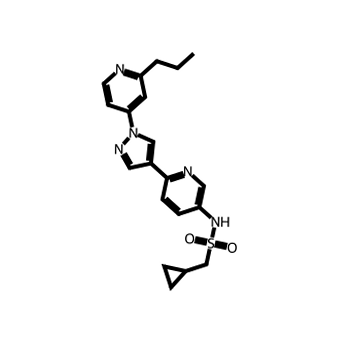 CCCc1cc(-n2cc(-c3ccc(NS(=O)(=O)CC4CC4)cn3)cn2)ccn1